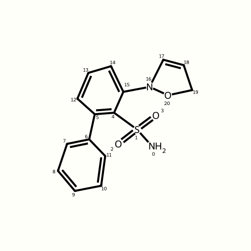 NS(=O)(=O)c1c(-c2ccccc2)cccc1N1C=CCO1